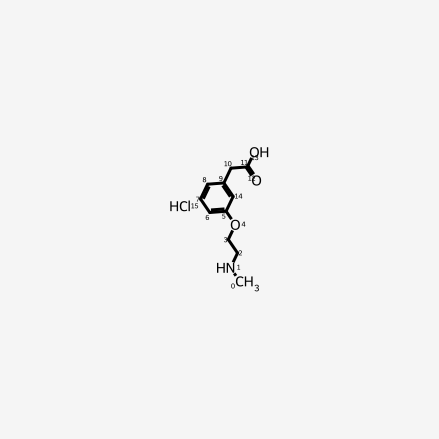 CNCCOc1cccc(CC(=O)O)c1.Cl